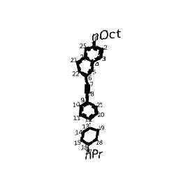 CCCCCCCCc1ccc2cc(C#Cc3ccc([C@H]4CC[C@H](CCC)CC4)cc3)ccc2c1